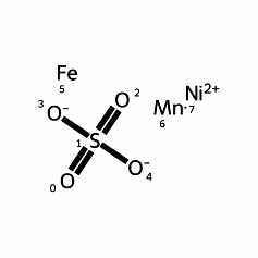 O=S(=O)([O-])[O-].[Fe].[Mn].[Ni+2]